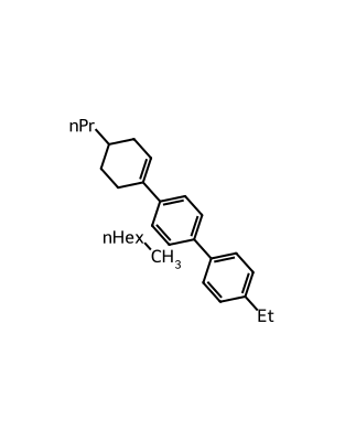 CCCC1CC=C(c2ccc(-c3ccc(CC)cc3)cc2)CC1.CCCCCCC